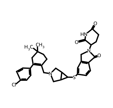 CC1(C)CCC(CN2CC3C(C2)C3Sc2ccc3c(c2)CN(C2CCC(=O)NC2=O)C3=O)=C(c2ccc(Cl)cc2)C1